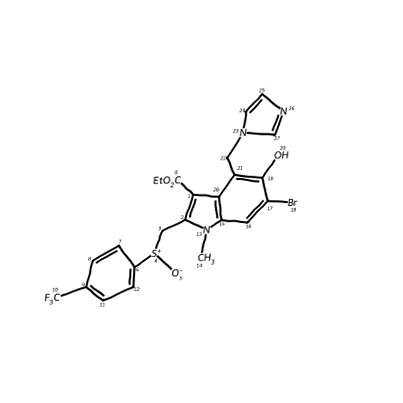 CCOC(=O)c1c(C[S+]([O-])c2ccc(C(F)(F)F)cc2)n(C)c2cc(Br)c(O)c(Cn3ccnc3)c12